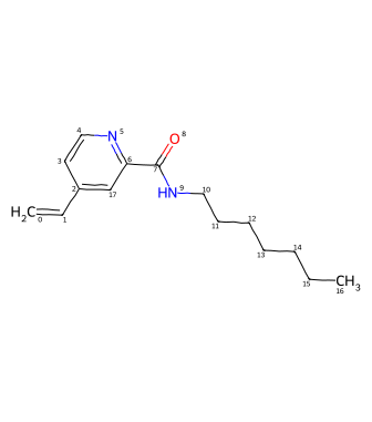 C=Cc1ccnc(C(=O)NCCCCCCC)c1